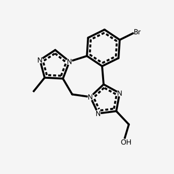 Cc1ncn2c1Cn1nc(CO)nc1-c1cc(Br)ccc1-2